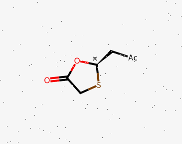 CC(=O)C[C@@H]1OC(=O)CS1